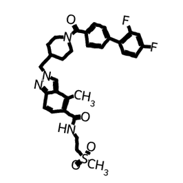 Cc1c(C(=O)NCCS(C)(=O)=O)ccc2nn(CC3CCN(C(=O)c4ccc(-c5ccc(F)cc5F)cc4)CC3)cc12